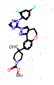 CC(C)(C)OC(=O)N1CCC(C=O)(c2ccc3c(c2)-c2nn(-c4ncnn4-c4ccc(F)cc4F)cc2CCO3)CC1